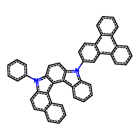 c1ccc(-n2c3ccc4ccccc4c3c3c4c5ccccc5n(-c5ccc6c7ccccc7c7ccccc7c6c5)c4ccc32)cc1